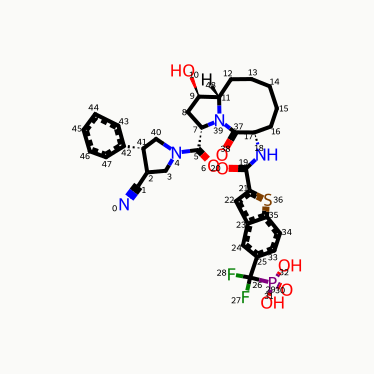 N#CC1CN(C(=O)[C@@H]2C[C@@H](O)[C@@H]3CCCCC[C@H](NC(=O)c4cc5cc(C(F)(F)P(=O)(O)O)ccc5s4)C(=O)N23)C[C@H]1c1ccccc1